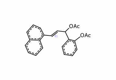 CC(=O)Oc1ccccc1C(/C=C/c1cccc2ccccc12)OC(C)=O